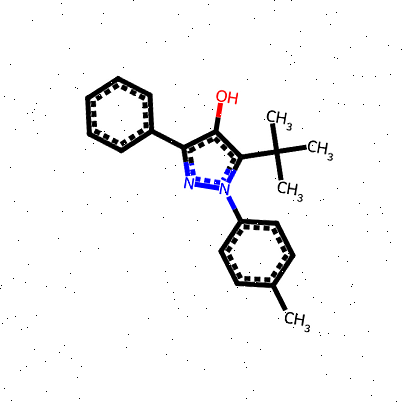 Cc1ccc(-n2nc(-c3ccccc3)c(O)c2C(C)(C)C)cc1